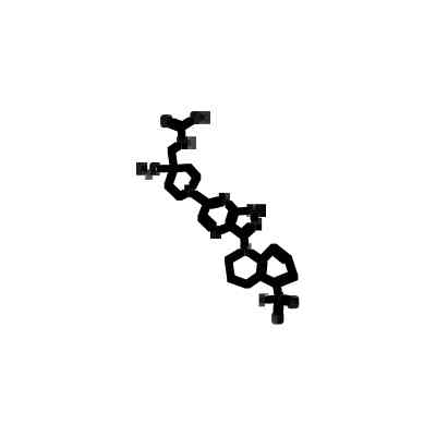 CC1(CNC(=O)O)CCN(c2cnc3c(N4CCCc5c4cccc5S(=O)(=O)F)n[nH]c3n2)CC1